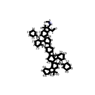 C=CC1=C(/C=C\C)C(C)(C)c2cc(N(c3ccccc3)c3cccc4c3c3cccc5c6cc7c(cc6n4c53)c3cccc4c5c(N(c6ccccc6)c6ccc8c(c6)C(C)(C)c6ccccc6-8)cccc5n7c34)ccc21